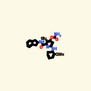 COc1ccccc1Nc1cc(OC(N)=O)c(C(C)(C)C)c(C(=O)NC2Cc3ccccc3C2)n1